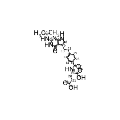 CC(C)Nc1nc2[nH]cc(CCc3ccc(C(=O)N[C@@H](CCC(=O)O)C(=O)O)cc3)c2c(=O)[nH]1